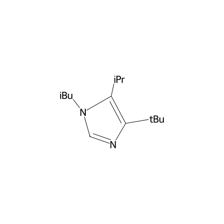 CCC(C)n1cnc(C(C)(C)C)c1C(C)C